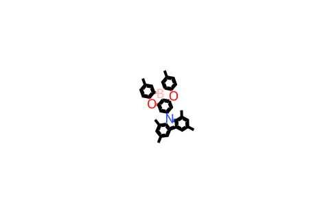 Cc1ccc2c(c1)B1c3cc(C)ccc3Oc3cc(-n4c5c(C)cc(C)cc5c5cc(C)cc(C)c54)cc(c31)O2